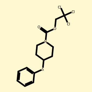 O=C(OCC(Cl)(Cl)Cl)N1CCC(Sc2ccccc2)CC1